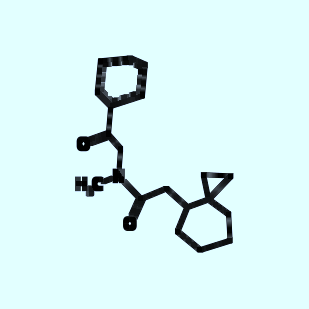 CN(CC(=O)c1ccccc1)C(=O)CC1CCCCC12CC2